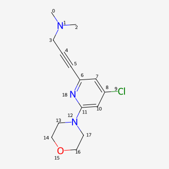 CN(C)CC#Cc1cc(Cl)cc(N2CCOCC2)n1